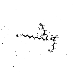 CCCCCCCCCCC[C@H](C[C@@H]1OC(=O)[C@H]1CCCC)OC(=O)CNC=O